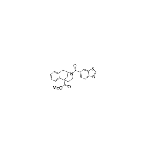 COC(=O)C12CCN(C(=O)c3ccc4ncsc4c3)C(Cc3ccccc31)C2